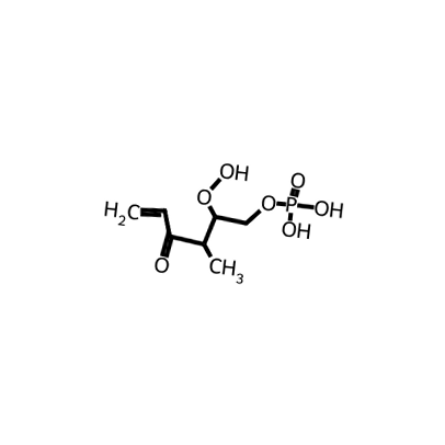 C=CC(=O)C(C)C(COP(=O)(O)O)OO